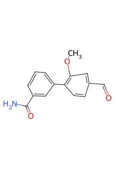 COc1cc(C=O)ccc1-c1cccc(C(N)=O)c1